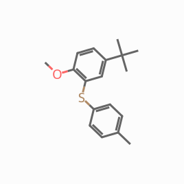 COc1ccc(C(C)(C)C)cc1Sc1ccc(C)cc1